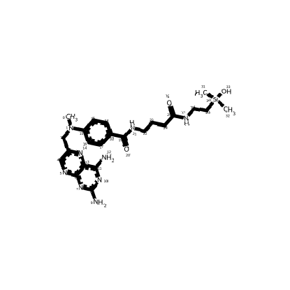 CN(Cc1cnc2nc(N)nc(N)c2n1)c1ccc(C(=O)NCCCC(=O)NCC[Si](C)(C)O)cc1